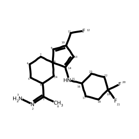 C/C(=N/N)C1CCCC2(C=C(CF)C=C2NC2CCC(F)(F)CC2)C1